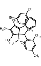 CCc1cc(CC)cc([SiH2]C(c2ccc(C)cc2C)[C]2([Ti]([CH3])[CH3])C(C)=C(C)C(C)=C2c2ccccc2)c1